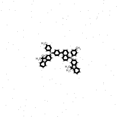 Cc1ccc(N(c2ccc(-c3cccc4c(N(c5ccc(C)cc5)c5ccc6c(c5)C(C)(C)c5ccccc5-6)cccc34)cc2)c2ccc3c(c2)C(C)(C)c2ccccc2-3)cc1